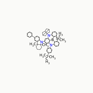 CC(C)(C)c1ccc(N2c3cc(N4c5ccc(-c6ccccc6)cc5C5(C)CCCCC45C)cc4c3B3c5c2cccc5[Si](C)(C)c2cccc(c23)N4C23CC4CC2CC4C3)cc1